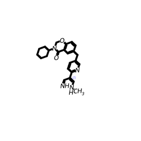 CN/C=C(\C=N)c1ccc(Cc2ccc3c(c2)C(=O)N(C2CCCCC2)CO3)cn1